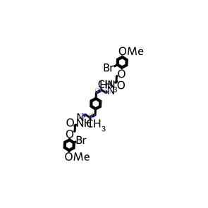 COc1ccc(OCC(=O)N/N=C\C(C)=C/c2ccc(/C=C(C)\C=N/NC(=O)COc3ccc(OC)cc3Br)cc2)c(Br)c1